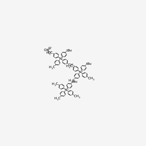 Cc1ccc([N+](c2ccc(C)cc2)(c2ccc(C)cc2)c2ccc(C(C)(C)C)cc2)cc1.Cc1ccc([N+](c2ccc(C)cc2)(c2ccc(C)cc2)c2ccc(C(C)(C)C)cc2)cc1.Cc1ccc([N+](c2ccc(C)cc2)(c2ccc(C)cc2)c2ccc(C(C)(C)C)cc2)cc1.[O-]B([O-])[O-]